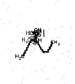 CCCCCCC/C=C\C/C=C\CCCCCCCC(=O)N[C@@H](COC1OC(CO)C(O)C(O)C1O)[C@H](O)[C@H](O)C(C)CCCCCCCCCCCC